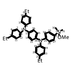 CCc1ccc(N(c2ccc(CC)cc2)c2ccc(N(c3ccc(CC)cc3)c3ccc([Si](C)(C)OC)cc3)cc2)cc1